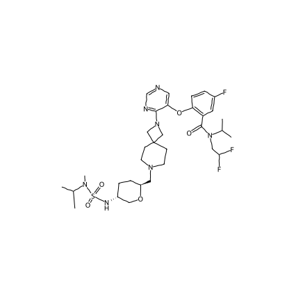 CC(C)N(CC(F)F)C(=O)c1cc(F)ccc1Oc1cncnc1N1CC2(CCN(C[C@@H]3CC[C@@H](NS(=O)(=O)N(C)C(C)C)CO3)CC2)C1